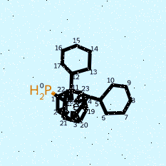 P[C]12[CH]3[CH]4[C]5(C6CCCCC6)[C]1(C1CCCCC1)[Fe]34251678[CH]2[CH]1[CH]6[CH]7[CH]28